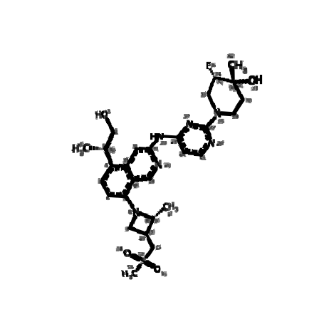 C[C@H](CO)c1ccc(N2C[C@H](CS(C)(=O)=O)[C@H]2C)c2cnc(Nc3ccnc(N4CC[C@@](C)(O)[C@@H](F)C4)n3)cc12